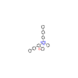 C1=CCC(c2nc(-c3ccc(-c4ccc(-c5ccccc5)cc4)cc3)nc(-c3ccc(-c4ccc(-c5ccccc5)cc4)c4oc5ccccc5c34)n2)C=C1